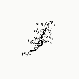 C=CCOCC(CC(C)(C)OCC(C)(C)CCC(C)(C)COC(C)C)OC(C)C